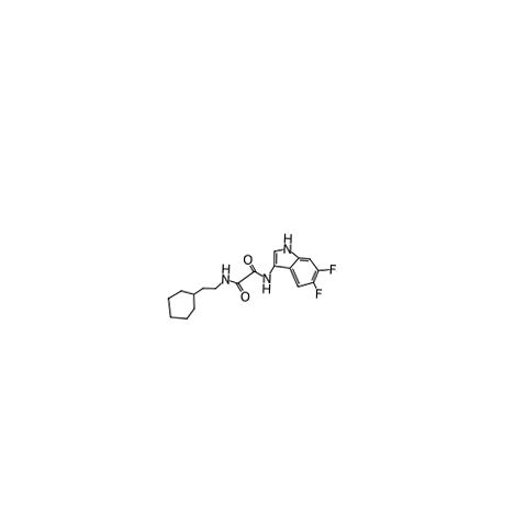 O=C(NCCC1CCCCC1)C(=O)Nc1c[nH]c2cc(F)c(F)cc12